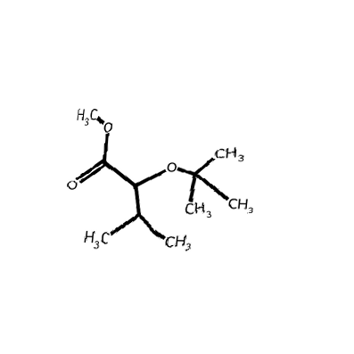 COC(=O)C(OC(C)(C)C)C(C)C